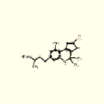 CCCCCC(C)CCc1cc(O)c2c(c1)OC(C)(C)C1=C2CC(C)C1